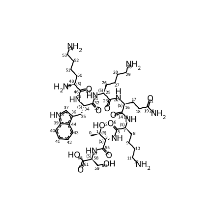 C[C@@H](O)[C@H](NC(=O)[C@H](CCCCN)NC(=O)[C@H](CCC(N)=O)NC(=O)[C@H](CCCCN)NC(=O)[C@H](Cc1c[nH]c2ccccc12)NC(=O)[C@@H](N)CCCCN)C(=O)N[C@@H](CO)C(=O)O